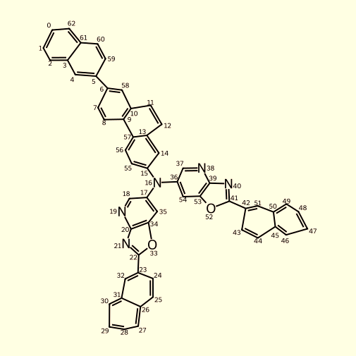 c1ccc2cc(-c3ccc4c(ccc5cc(N(c6cnc7nc(-c8ccc9ccccc9c8)oc7c6)c6cnc7nc(-c8ccc9ccccc9c8)oc7c6)ccc54)c3)ccc2c1